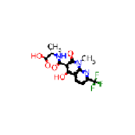 C[C@H](NC(=O)c1c(O)c2ccc(C(F)(F)F)nc2n(C)c1=O)C(=O)O